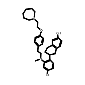 CN(CCc1ccc(OCCN2CCCCCC2)cc1)c1cc(O)ccc1C1CCc2cc(O)ccc2C1